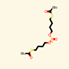 CC(C)(C)C(=O)SCCCCO[PH](=O)OCCCCSC(=O)C(C)(C)C